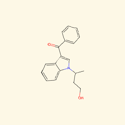 CC(CCO)n1cc(C(=O)c2ccccc2)c2ccccc21